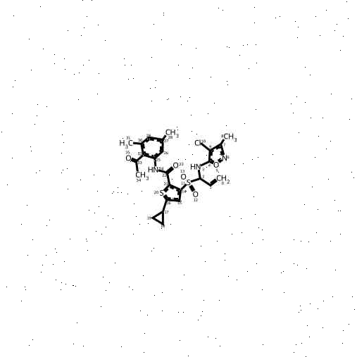 C=CC(Nc1onc(C)c1Cl)S(=O)(=O)c1cc(C2CC2)sc1C(=O)Nc1cc(C)cc(C)c1C(C)=O